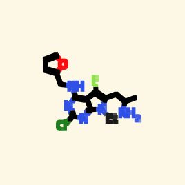 CCn1c(CC(C)N)c(F)c2c(NCc3ccco3)nc(Cl)nc21